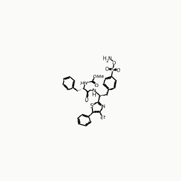 CCc1nc([C@H](Cc2ccc(S(=O)(=O)ON)cc2)NC(=O)[C@H](Cc2ccccc2)NC(=O)OC)sc1-c1ccccc1